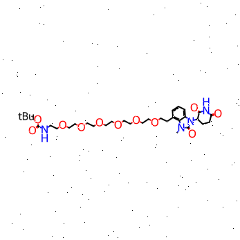 Cn1c(=O)n(C2CCC(=O)NC2=O)c2cccc(CCOCCOCCOCCOCCOCCOCCNC(=O)OC(C)(C)C)c21